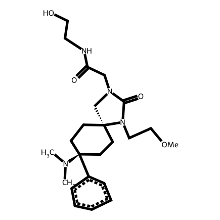 COCCN1C(=O)N(CC(=O)NCCO)C[C@]12CC[C@](c1ccccc1)(N(C)C)CC2